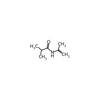 C=C(C)NC(=O)C(C)C